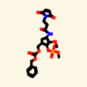 COC1[C@@H](NC(=O)CCN2C(=O)C=CC2=O)C[C@H](COC(=O)OCc2ccccc2)[C@@H]1OP(=O)(O)OC